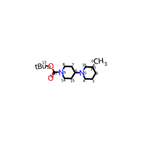 C[C@@H]1CCCN(C2CCN(C(=O)OC(C)(C)C)CC2)C1